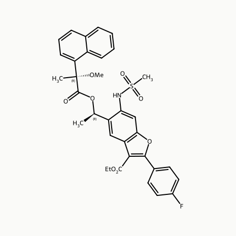 CCOC(=O)c1c(-c2ccc(F)cc2)oc2cc(NS(C)(=O)=O)c([C@@H](C)OC(=O)[C@](C)(OC)c3cccc4ccccc34)cc12